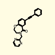 O=C1c2cc(C#Cc3ccccc3)ccc2OCCN1Cc1ncccn1